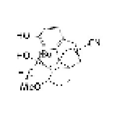 COC12CCC3(CC1C(C)(O)C(C)(C)C)C1Cc4ccc(O)c5c4C3(CCN1C#N)C2C5